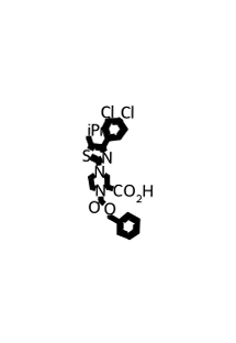 CC(C)Cc1sc(N2CCN(C(=O)OCc3ccccc3)C(C(=O)O)C2)nc1-c1ccc(Cl)c(Cl)c1